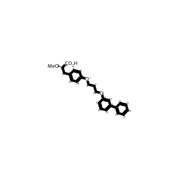 CO[C@@H](Cc1ccc(OCCCOc2cccc(-c3ccccc3)c2)cc1)C(=O)O